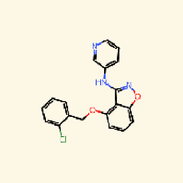 Clc1ccccc1COc1cccc2onc(Nc3cccnc3)c12